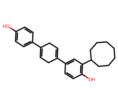 Oc1ccc(C2=CCC(c3ccc(O)c(C4CCCCCCC4)c3)=CC2)cc1